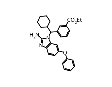 CCOC(=O)c1cccc(C(C2CCCCC2)n2c(N)nc3ccc(Oc4ccccc4)cc32)c1